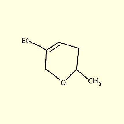 CCC1=CCC(C)OC1